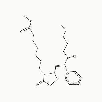 CCCCCC(O)/C(=C/[C@H]1CCC(=O)[C@@H]1CCCCCCC(=O)OC)c1ccccc1